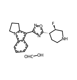 F[C@H]1CNCC[C@@H]1c1nc(-c2c3n(c4ccccc24)CCC3)no1.O=CO